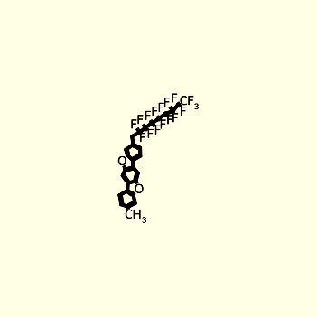 Cc1ccc2c(c1)oc1cc3c(cc12)oc1cc(CC(F)(F)C(F)(F)C(F)(F)C(F)(F)C(F)(F)C(F)(F)C(F)(F)C(F)(F)F)ccc13